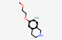 COCCOc1ccc2c(c1)CCNC2.Cl